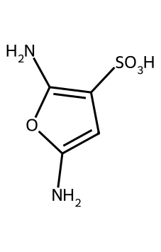 Nc1cc(S(=O)(=O)O)c(N)o1